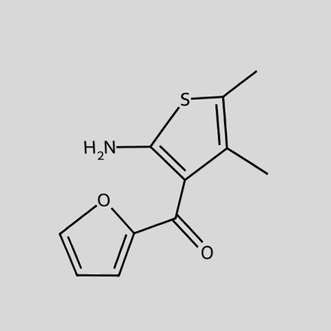 Cc1sc(N)c(C(=O)c2ccco2)c1C